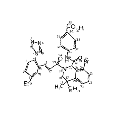 CCc1ccc(-n2cnnn2)c(/C=C/C(=O)N2CC(C)(C)c3cccc(Br)c3C2C(=O)Nc2ccc(C(=O)O)cc2)c1